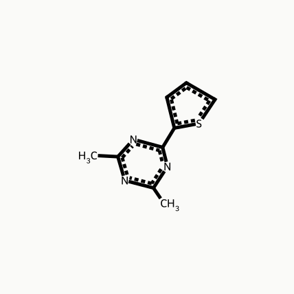 Cc1nc(C)nc(-c2cccs2)n1